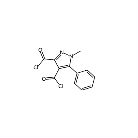 Cn1nc(C(=O)Cl)c(C(=O)Cl)c1-c1ccccc1